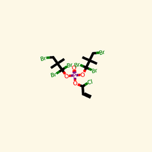 C=CC(Cl)OP(=O)(OC(Br)(Br)C(C)(C)CBr)OC(Br)(Br)C(C)(C)CBr